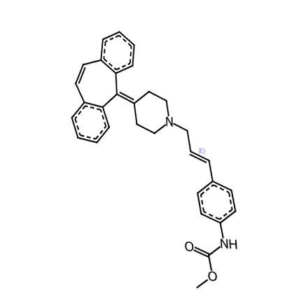 COC(=O)Nc1ccc(/C=C/CN2CCC(=C3c4ccccc4C=Cc4ccccc43)CC2)cc1